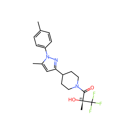 Cc1ccc(-n2nc(C3CCN(C(=O)[C@@](C)(O)C(F)(F)F)CC3)cc2C)cc1